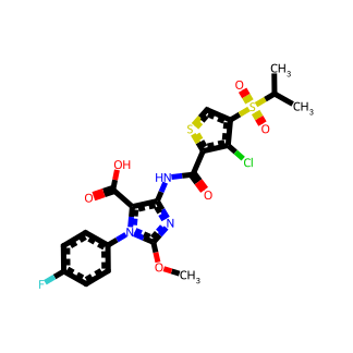 COc1nc(NC(=O)c2scc(S(=O)(=O)C(C)C)c2Cl)c(C(=O)O)n1-c1ccc(F)cc1